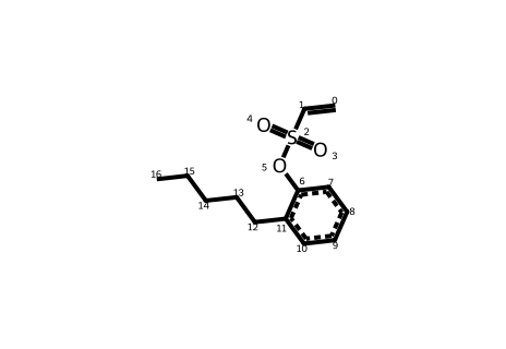 C=CS(=O)(=O)Oc1ccccc1CCCCC